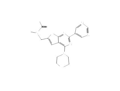 CC(=O)N(C)Cc1cc2c(N3CCOCC3)nc(-c3cncnc3)nc2s1